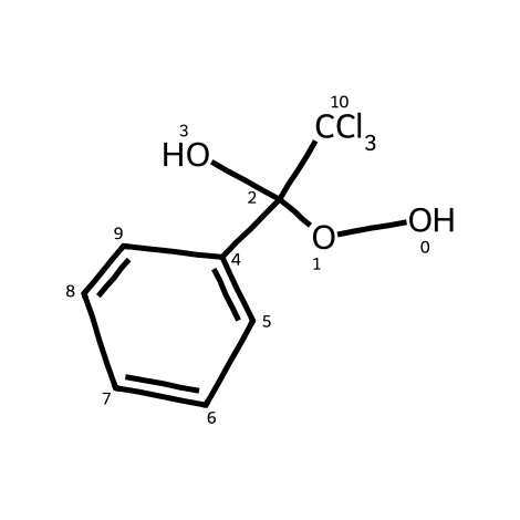 OOC(O)(c1ccccc1)C(Cl)(Cl)Cl